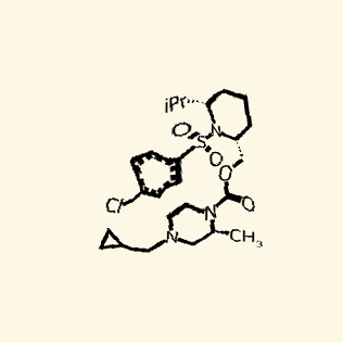 CC(C)[C@@H]1CCC[C@H](COC(=O)N2CCN(CC3CC3)C[C@@H]2C)N1S(=O)(=O)c1ccc(Cl)cc1